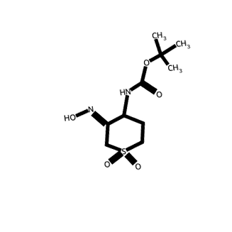 CC(C)(C)OC(=O)NC1CCS(=O)(=O)CC1=NO